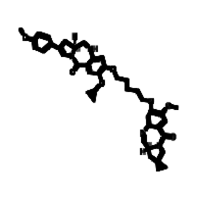 COc1ccc(C2=CN3C(=O)c4cc(OC5CC5)c(OCCCCCOc5cc6c(cc5OC)C(=O)N5CC7(CC7)C[C@H]5C=N6)cc4NC[C@@H]3C2)cc1